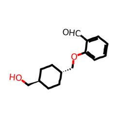 O=Cc1ccccc1OC[C@H]1CC[C@H](CO)CC1